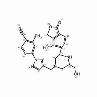 Cc1cc(-n2cc(CN3CC(CO)NC(c4ccc5c(c4C)COC5=O)C3)cn2)ncc1C#N